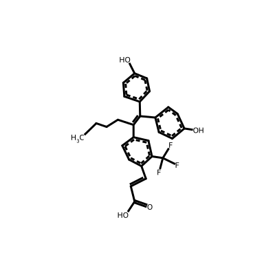 CCCCC(=C(c1ccc(O)cc1)c1ccc(O)cc1)c1ccc(/C=C/C(=O)O)c(C(F)(F)F)c1